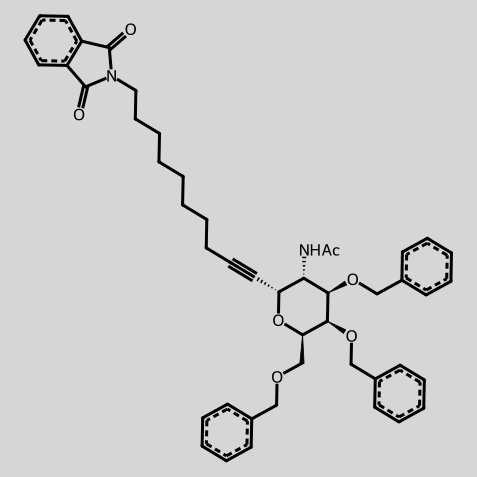 CC(=O)N[C@@H]1[C@@H](OCc2ccccc2)[C@@H](OCc2ccccc2)[C@@H](COCc2ccccc2)O[C@@H]1C#CCCCCCCCCN1C(=O)c2ccccc2C1=O